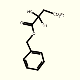 CCOC(=O)CC(S)(S)C(=O)OCc1ccccc1